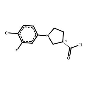 O=C(Cl)[C@H]1CCN(c2ccc(Cl)c(F)c2)C1